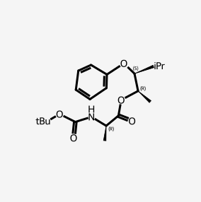 CC(C)[C@H](Oc1ccccc1)[C@@H](C)OC(=O)[C@@H](C)NC(=O)OC(C)(C)C